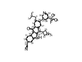 CC(C)Cc1cc2c(=O)c3c4ccc(C#N)cc4[nH]c3n(C3CN(C)C3)c2cc1-c1cncc(S(=O)(=O)F)c1